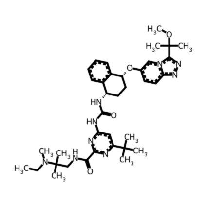 CCN(C)C(C)(C)CNC(=O)c1nc(NC(=O)N[C@H]2CC[C@@H](Oc3ccc4nnc(C(C)(C)OC)n4c3)c3ccccc32)cc(C(C)(C)C)n1